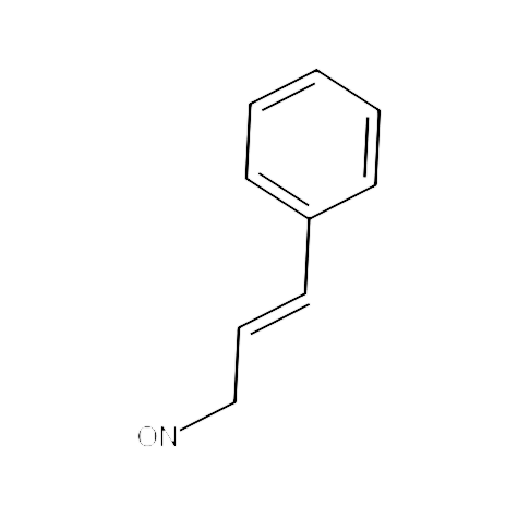 O=NC/C=C/c1ccccc1